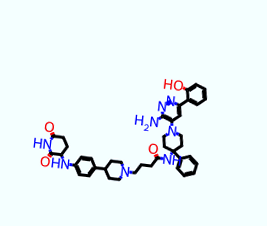 Nc1nnc(-c2ccccc2O)cc1N1CCC(NC(=O)CCCN2CCC(c3ccc(NC4CCC(=O)NC4=O)cc3)CC2)(c2ccccc2)CC1